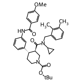 COc1ccc(C(=O)Nc2cccc([C@H]3CCN(C(=O)OC(C)(C)C)C[C@@H]3C(=O)N(Cc3cccc(C)c3C)C3CC3)c2)cc1